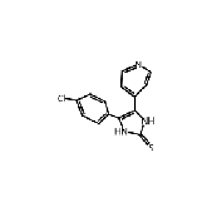 S=c1[nH]c(-c2ccncc2)c(-c2ccc(Cl)cc2)[nH]1